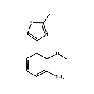 COC1C(N)=CC=CC1c1csc(C)n1